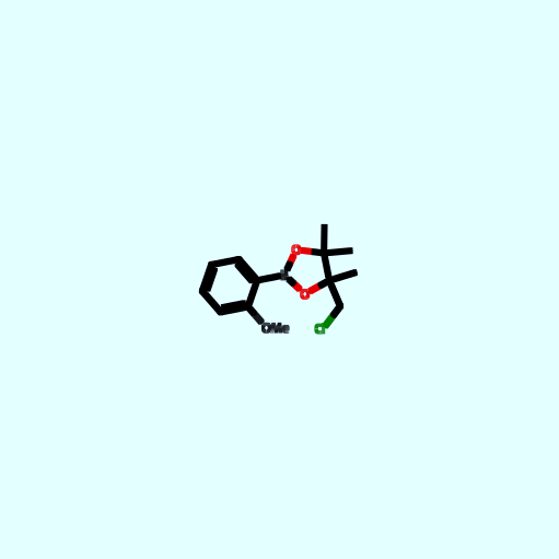 COc1ccccc1B1OC(C)(C)C(C)(CCl)O1